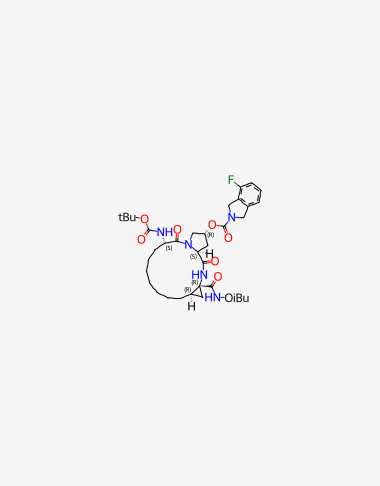 CC(C)CONC(=O)[C@@]12C[C@H]1CCCCCCC[C@H](NC(=O)OC(C)(C)C)C(=O)N1C[C@H](OC(=O)N3Cc4cccc(F)c4C3)C[C@H]1C(=O)N2